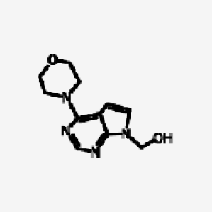 OCn1ccc2c(N3CCOCC3)ncnc21